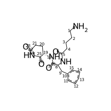 NCCCCC(=O)NC(Cc1ccccc1)C(=O)N[C@H]1CCC(=O)NC1=O